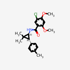 COc1cc(OC)c(C(=O)N[C@H]2[C@H](c3ccc(C)cc3)C2(C)C)cc1Cl